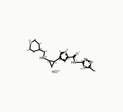 Cc1nnc(NC(=O)c2cc(C3CC3NCC3CCOCC3)cs2)s1.Cl